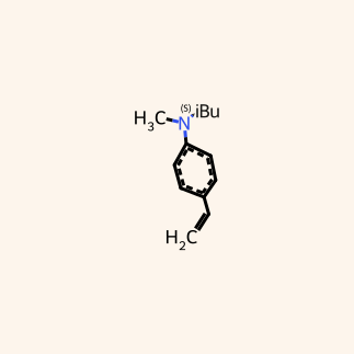 C=Cc1ccc(N(C)[C@@H](C)CC)cc1